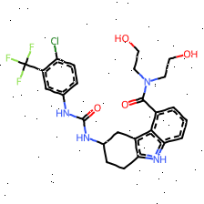 O=C(Nc1ccc(Cl)c(C(F)(F)F)c1)NC1CCc2[nH]c3cccc(C(=O)N(CCO)CCO)c3c2C1